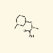 CC1CCCN(SN(C)C(=O)O)C1